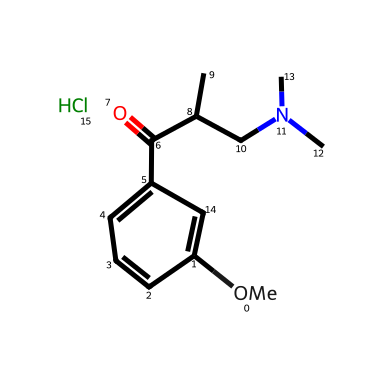 COc1cccc(C(=O)C(C)CN(C)C)c1.Cl